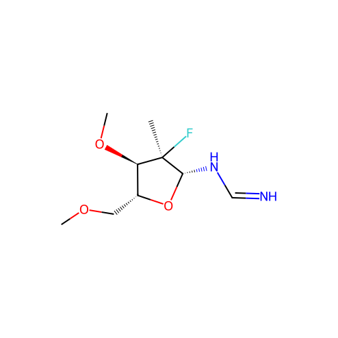 COC[C@H]1O[C@@H](NC=N)[C@](C)(F)[C@@H]1OC